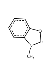 CN1[C]Oc2ccccc21